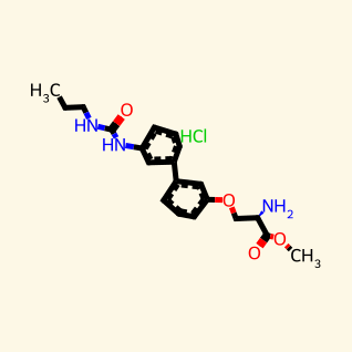 CCCNC(=O)Nc1cccc(-c2cccc(OC[C@H](N)C(=O)OC)c2)c1.Cl